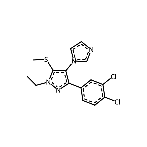 CCn1nc(-c2ccc(Cl)c(Cl)c2)c(-n2ccnc2)c1SC